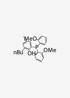 CCCCc1cc(C)cc(P(c2ccccc2OC)c2ccccc2OC)c1O